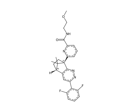 COCCNC(=O)c1cccc([C@@]23CC[C@@H](c4cc(-c5c(F)cccc5F)nnc42)C3(C)C)n1